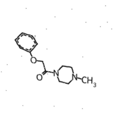 CN1CCN(C(=O)COc2c[c]ccc2)CC1